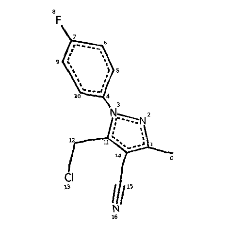 Cc1nn(-c2ccc(F)cc2)c(CCl)c1C#N